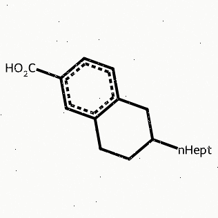 CCCCCCCC1CCc2cc(C(=O)O)ccc2C1